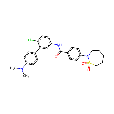 CN(C)c1ccc(-c2cc(NC(=O)c3ccc(N4CCCCCS4(=O)=O)cc3)ccc2Cl)cc1